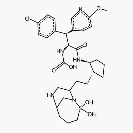 COc1ccc([C@H](c2ccc(Cl)cc2)[C@H](NC(=O)O)C(=O)N[C@H]2CCC[C@@H]2CCC2CNC3CCCS(O)(O)N2C3)cn1